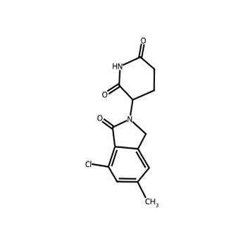 Cc1cc(Cl)c2c(c1)CN(C1CCC(=O)NC1=O)C2=O